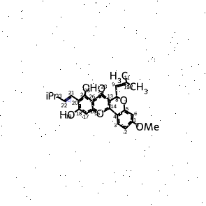 COc1ccc2c(c1)OC(C=C(C)C)c1c-2oc2cc(O)c(/C=C/C(C)C)c(O)c2c1=O